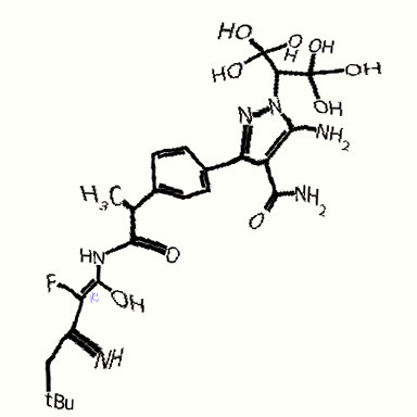 CC(C(=O)N/C(O)=C(\F)C(=N)CC(C)(C)C)c1ccc(-c2nn(C(C(O)(O)O)C(O)(O)O)c(N)c2C(N)=O)cc1